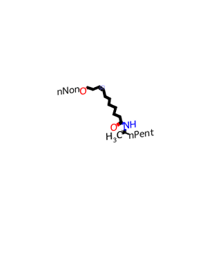 CCCCCCCCCOCC/C=C\CCCCCCC(=O)N[C@H](C)CCCCC